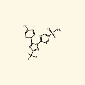 NS(=O)(=O)c1cnc(-n2nc(C(F)(F)F)nc2-c2ccc(Br)cc2)nc1